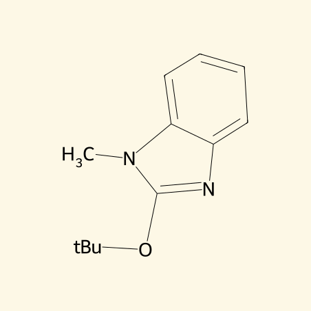 Cn1c(OC(C)(C)C)nc2ccccc21